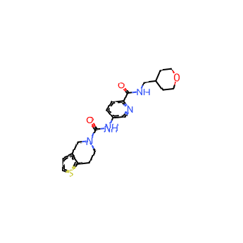 O=C(NCC1CCOCC1)c1ccc(NC(=O)N2CCc3sccc3C2)cn1